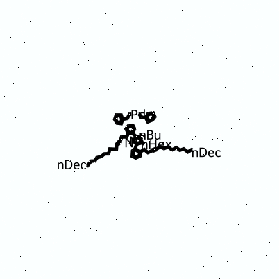 CCCCCCCCCCCCCCCCCCCC#CCCc1ccccc1C1=C(CCCC)C(CCCCCC)=C(c2ccccc2CCC#CCCCCCCCCCCCCCCCCCCC)[N+]1=[N-].c1ccc(C[CH2][Pd][CH2]Cc2ccccc2)cc1